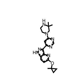 CC1(C)CN(c2cc(-c3n[nH]c4ccc(OC5(C)CC5)nc34)ncn2)CCN1